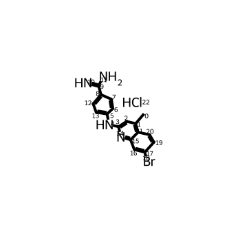 Cc1cc(Nc2ccc(C(=N)N)cc2)nc2cc(Br)ccc12.Cl